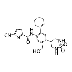 [C-]#[N+]C1=CCC(C(=O)Nc2cc(CO)c(C3CNS(=O)(=O)NC3)cc2C2=CCCCC2)=N1